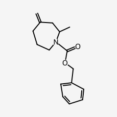 C=C1CCCN(C(=O)OCc2ccccc2)C(C)C1